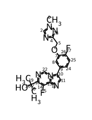 Cn1cnc(COc2cc(-c3cnc4c(F)c(C(C)(C)O)ncn34)ccc2F)n1